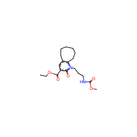 CCOC(=O)c1cc2c(n(CCCNC(=O)OC)c1=O)CCCCCC2